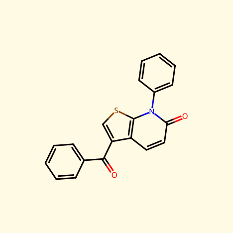 O=C(c1ccccc1)c1csc2c1ccc(=O)n2-c1ccccc1